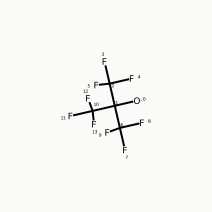 [O]C(C(F)(F)F)(C(F)(F)F)C(F)(F)F